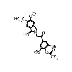 CCOc1cc2c(cc1C(=O)O)C(=N)N(CC(=O)c1cc(C(C)(C)C)c(OC(=O)C(F)(F)F)c(C(C)(C)C)c1)C2